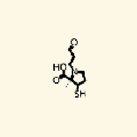 C[C@@]1(C(=O)O)C(S)CCN1CCC=O